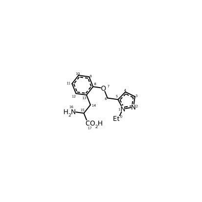 CCn1nccc1COc1ccccc1CC(N)C(=O)O